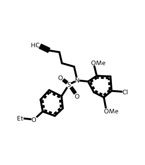 C#CCCCN(c1cc(OC)c(Cl)cc1OC)S(=O)(=O)c1ccc(OCC)cc1